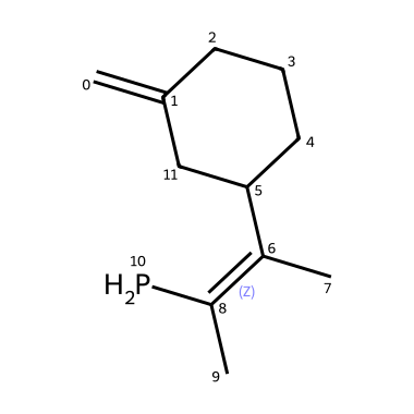 C=C1CCCC(/C(C)=C(/C)P)C1